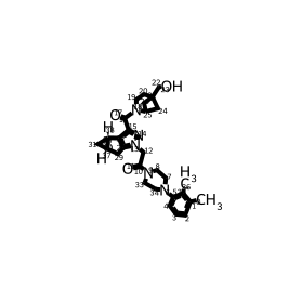 Cc1cccc(N2CCN(C(=O)Cn3nc(C(=O)N4CCC5(CO)CC4C5)c4c3C[C@H]3C[C@@H]43)CC2)c1C